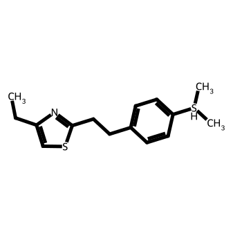 CCc1csc(CCc2ccc([SH](C)C)cc2)n1